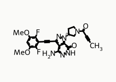 CC#CC(=O)N1CC[C@H](n2nc(C#Cc3c(F)c(OC)cc(OC)c3F)c3c(N)n[nH]c(=O)c32)C1